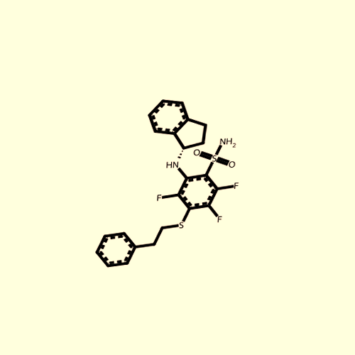 NS(=O)(=O)c1c(F)c(F)c(SCCc2ccccc2)c(F)c1N[C@H]1CCc2ccccc21